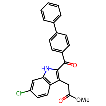 COC(=O)Cc1c(C(=O)c2ccc(-c3ccccc3)cc2)[nH]c2cc(Cl)ccc12